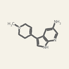 CN1CC=C(c2c[nH]c3ncc(N)cc23)CC1